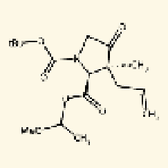 C=CC[C@]1(C)C(=O)CN(C(=O)OC(C)(C)C)[C@@H]1C(=O)OC(C)OC